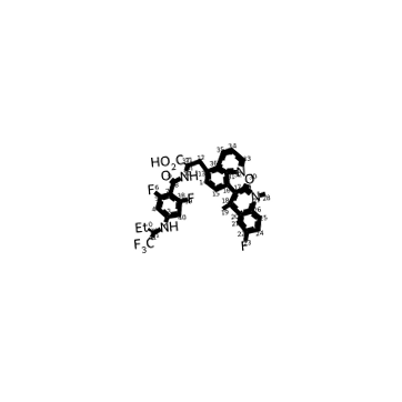 CC[C@@H](Nc1cc(F)c(C(=O)N[C@@H](Cc2ccc(-c3c(C)c4cc(F)ccc4n(C)c3=O)c3ncccc23)C(=O)O)c(F)c1)C(F)(F)F